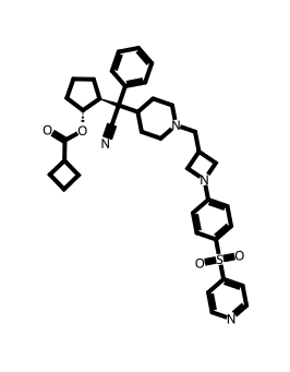 N#CC(c1ccccc1)(C1CCN(CC2CN(c3ccc(S(=O)(=O)c4ccncc4)cc3)C2)CC1)[C@@H]1CCC[C@H]1OC(=O)C1CCC1